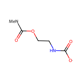 CNC(=O)OCCNC([O])=O